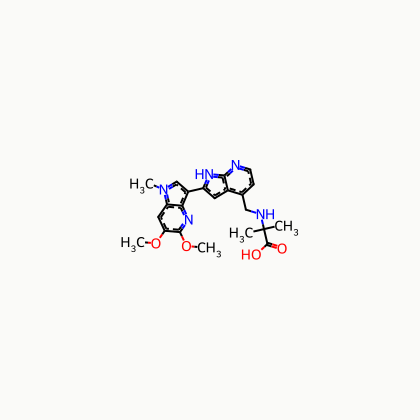 COc1cc2c(nc1OC)c(-c1cc3c(CNC(C)(C)C(=O)O)ccnc3[nH]1)cn2C